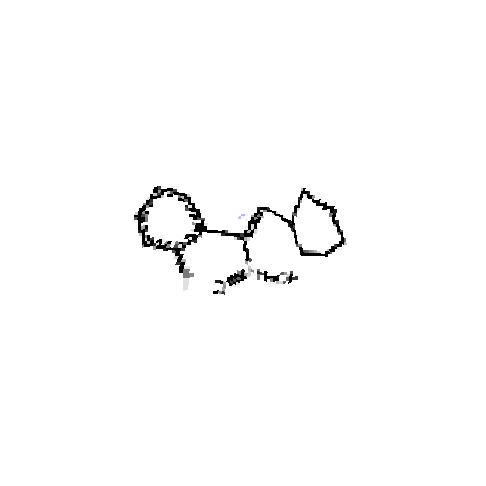 O=[PH](O)/C(=C\C1CCCCC1)c1ccccc1F